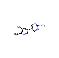 CC(=O)c1cc(-c2cnc(C(F)(F)F)nc2)cnc1C